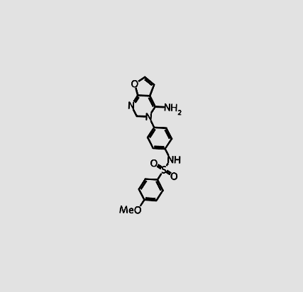 COc1ccc(S(=O)(=O)Nc2ccc(N3CN=c4occc4=C3N)cc2)cc1